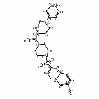 O=C(C1CCN(S(=O)(=O)c2ccc3cc(Br)ccc3c2)CC1)N1CCN(c2ccncc2)CC1